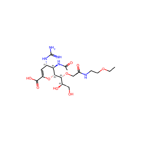 CCOCCNC(=O)CO[C@@H]([C@@H]1OC(C(=O)O)=C[C@H](NC(=N)N)[C@H]1NC(C)=O)[C@H](O)CO